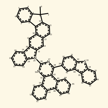 CC1(C)c2ccccc2-c2c1ccc1cc3c(cc21)c1ccccc1n3-c1nc(-c2ccc3sc4ccccc4c3c2)c2c3ccccc3c3ccccc3c2n1